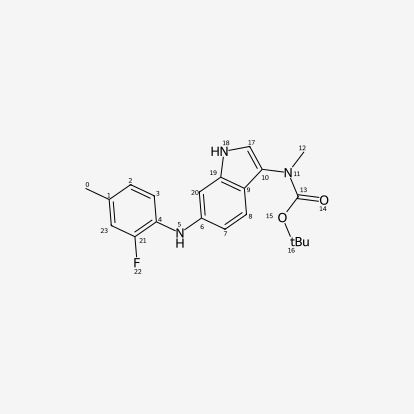 Cc1ccc(Nc2ccc3c(N(C)C(=O)OC(C)(C)C)c[nH]c3c2)c(F)c1